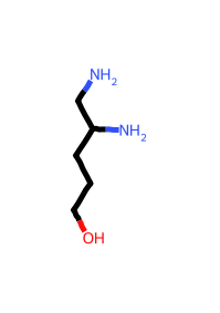 NCC(N)CCCO